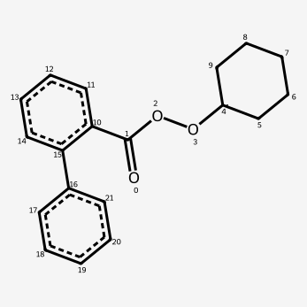 O=C(OO[C]1CCCCC1)c1ccccc1-c1ccccc1